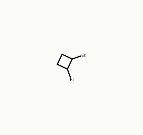 CCC1CCC1CC